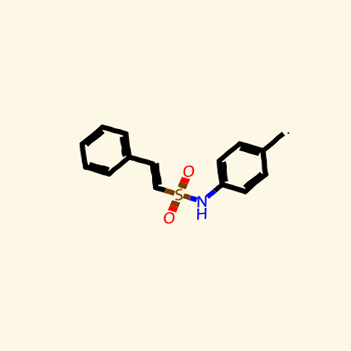 [CH2]c1ccc(NS(=O)(=O)C=Cc2ccccc2)cc1